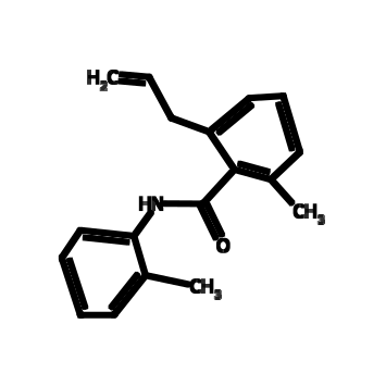 C=CCc1cccc(C)c1C(=O)Nc1ccccc1C